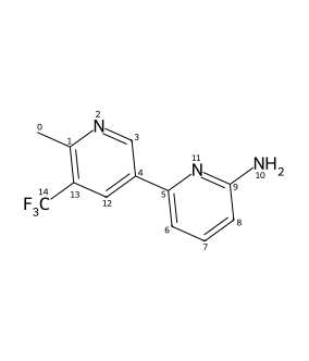 Cc1ncc(-c2cccc(N)n2)cc1C(F)(F)F